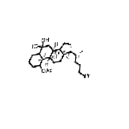 CC(=O)OC1CCCC2C(O)(O)C[C@@H]3[C@H](CC[C@]4(C)[C@@H]([C@H](C)CCCC(C)C)CC[C@@H]34)[C@@]12C